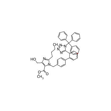 CCCCc1nc(CO)c(C(=O)OC)n1Cc1ccc(-c2ccccc2-c2nnnn2C(c2ccccc2)(c2ccccc2)c2ccccc2)cc1